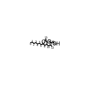 CCCCCCCC(CCCCC)OC(C)COCCO